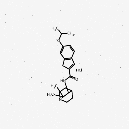 CC(C)Oc1ccc2cc(C(=O)NC3C4CCN(CC4)C3(C)C)sc2c1.Cl